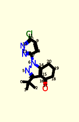 CC(C)(C)c1nn(-c2ccc(Cl)nn2)c2c1C(=O)CCC2